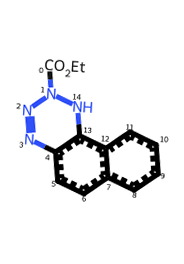 CCOC(=O)N1N=Nc2ccc3ccccc3c2N1